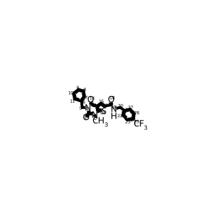 Cn1c(=O)n(Cc2ccccc2)c(=O)c2cc(C(=O)NCc3ccc(C(F)(F)F)cc3)sc21